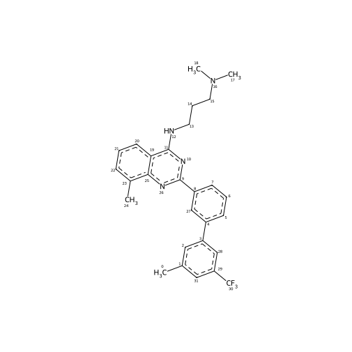 Cc1cc(-c2cccc(-c3nc(NCCCN(C)C)c4cccc(C)c4n3)c2)cc(C(F)(F)F)c1